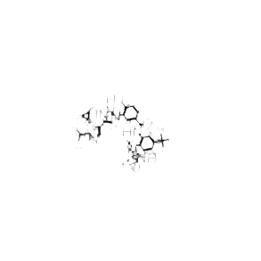 COc1c(NC(=O)c2ccc(C)c(N3C=C(c4cnc(C(C)C)n4C4CC4)NN3)c2)cc(C(C)(C)C)cc1NS(C)(=O)=O